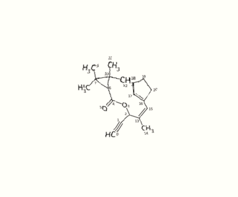 C#CC(OC(=O)C1C(C)(C)C1(C)C)C(C)=CC1=CCCC1